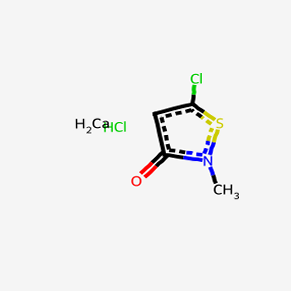 Cl.Cn1sc(Cl)cc1=O.[CaH2]